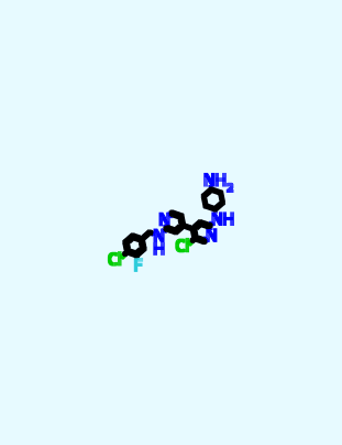 N[C@H]1CC[C@H](Nc2cc(-c3ccnc(NCc4ccc(Cl)c(F)c4)c3)c(Cl)cn2)CC1